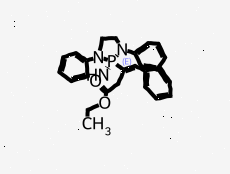 CCOC(=O)C/C(=C\c1ccccc1)P1(=N)N(c2ccccc2)CCN1c1ccccc1